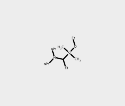 CCCN(CCC)C(CC)[Si](C)(C)OCC